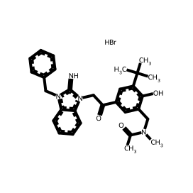 Br.CC(=O)N(C)Cc1cc(C(=O)Cn2c(=N)n(Cc3ccccc3)c3ccccc32)cc(C(C)(C)C)c1O